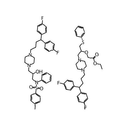 CCOC(=O)COC(CSc1ccccc1)CN1CCN(CCCC(c2ccc(F)cc2)c2ccc(F)cc2)CC1.Cc1ccc(S(=O)(=O)N(CC(O)CN2CCN(CCCC(c3ccc(F)cc3)c3ccc(F)cc3)CC2)c2ccccc2)cc1